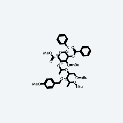 CCCCOCC(OC(C)O[C@H]1C(OCCCC)C(OC(=O)c2ccccc2)[C@@H](Sc2ccccc2)O[C@H]1C(=O)OC)[C@@H](OCc1ccc(OC)cc1)C(C)OCCCC